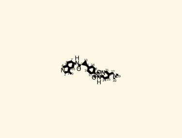 Cc1cncc2ccc(NC(=O)[C@@H]3CC3c3ccc(S(=O)(=O)Nc4ccc(CN(C)C)cn4)cc3)cc12